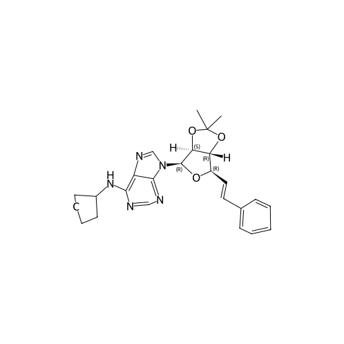 CC1(C)O[C@H]2[C@H](O1)[C@@H](C=Cc1ccccc1)O[C@H]2n1cnc2c(NC3CCCC3)ncnc21